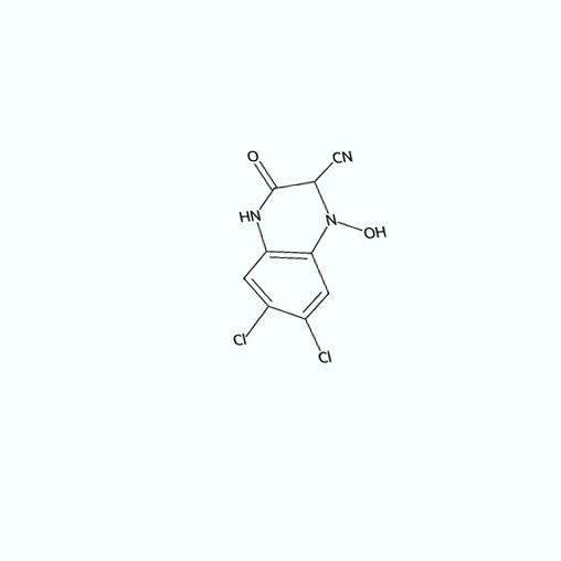 N#CC1C(=O)Nc2cc(Cl)c(Cl)cc2N1O